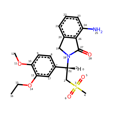 [2H][C@@](CS(C)(=O)=O)(c1ccc(OC)c(OCC)c1)N1Cc2cccc(N)c2C1=O